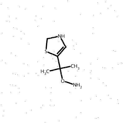 CC(C)(ON)C1=CNCS1